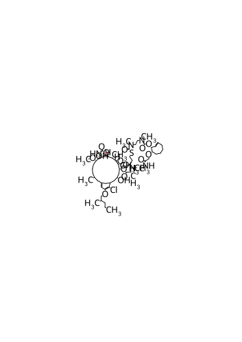 CCCC(C)COC1=C(Cl)C2CC(=C1)CC(C)CCC[C@@H](OC)[C@@]1(O)C[C@H](OC(=O)N1)[C@@H](C)[C@@H]1O[C@@]1(C)[C@@H](OC(=O)[C@H](C)N(C)C(=O)CCSC(=O)N(C)CCN(C)C(=O)OC1/C=C/CCCCC1OCC(=O)NC)CC(O)C2